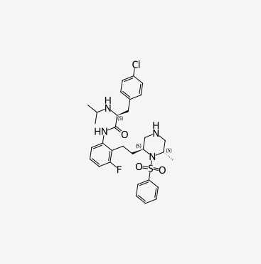 CC(C)N[C@@H](Cc1ccc(Cl)cc1)C(=O)Nc1cccc(F)c1CC[C@H]1CNC[C@H](C)N1S(=O)(=O)c1ccccc1